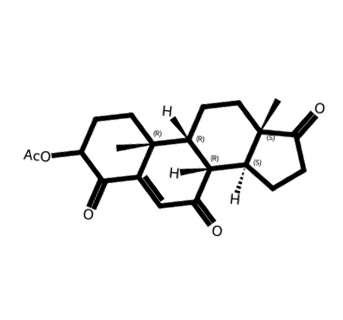 CC(=O)OC1CC[C@@]2(C)C(=CC(=O)[C@@H]3[C@H]2CC[C@]2(C)C(=O)CC[C@@H]32)C1=O